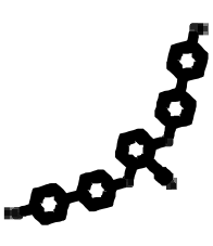 N#Cc1c(Oc2ccc(-c3ccc(O)cc3)cc2)cccc1Oc1ccc(-c2ccc(O)cc2)cc1